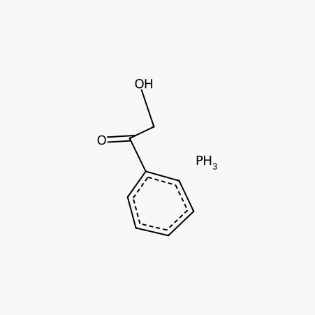 O=C(CO)c1ccccc1.P